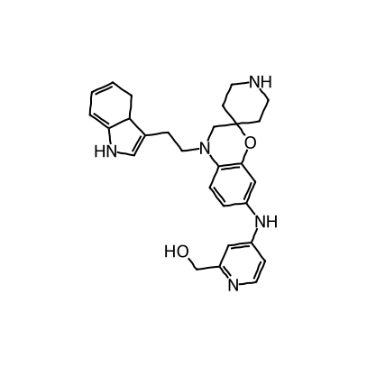 OCc1cc(Nc2ccc3c(c2)OC2(CCNCC2)CN3CCC2=CNC3=CC=CCC23)ccn1